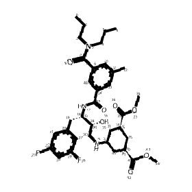 CCCN(CCC)C(=O)c1cc(C)cc(C(=O)N[C@@H](Cc2cc(F)cc(F)c2)[C@H](O)CNC2C[C@@H](C(=O)OC)C[C@@H](C(=O)OC)C2)c1